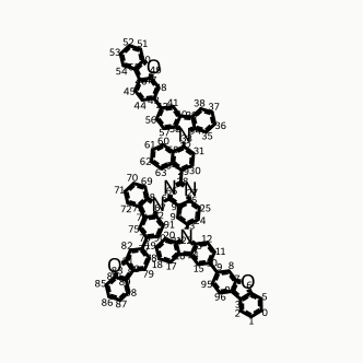 c1ccc2c(c1)oc1cc(-c3ccc4c(c3)c3ccccc3n4-c3ccc4nc(-c5ccc(-n6c7ccccc7c7cc(-c8ccc9c(c8)oc8ccccc89)ccc76)c6ccccc56)nc(-n5c6ccccc6c6cc(-c7ccc8c(c7)oc7ccccc78)ccc65)c4c3)ccc12